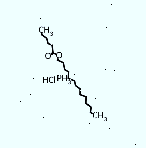 CCCCCCCCCCCCCCOC(=O)CCCCC.Cl.P